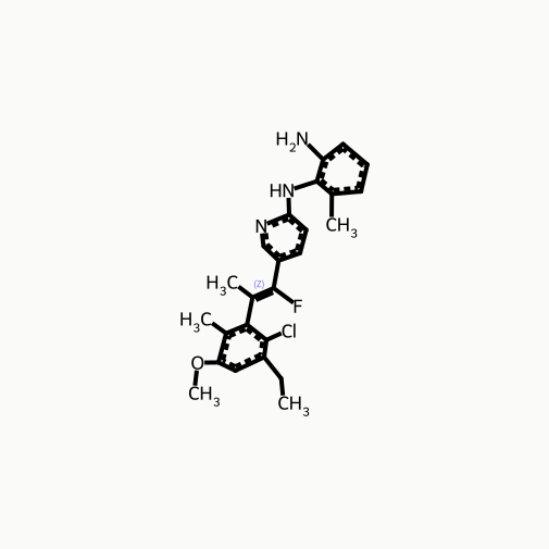 CCc1cc(OC)c(C)c(/C(C)=C(\F)c2ccc(Nc3c(C)cccc3N)nc2)c1Cl